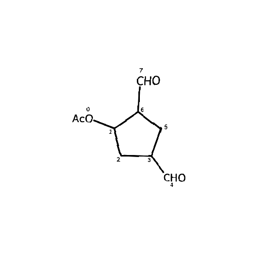 CC(=O)OC1CC(C=O)CC1C=O